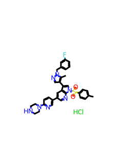 Cc1ccc(S(=O)(=O)n2cc(-c3cnn(Cc4cccc(F)c4)c3C)c3cc(-c4ccc(N5CCNCC5)nc4)cnc32)cc1.Cl